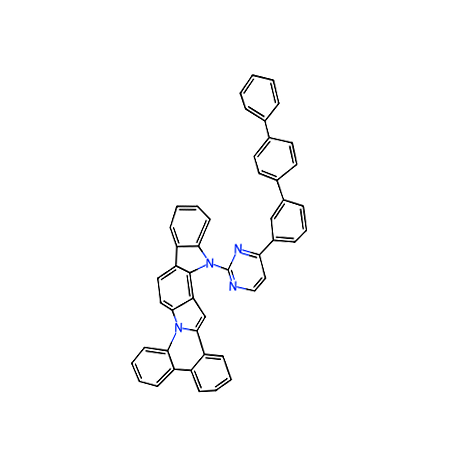 c1ccc(-c2ccc(-c3cccc(-c4ccnc(-n5c6ccccc6c6ccc7c(cc8c9ccccc9c9ccccc9n87)c65)n4)c3)cc2)cc1